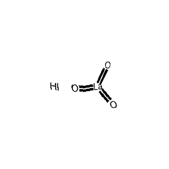 I.[O]=[La](=[O])=[O]